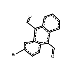 O=Cc1c2ccccc2c(C=O)c2cc(Br)ccc12